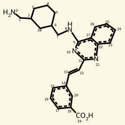 NCC1CCCC(CNc2nc(/C=C/c3cccc(C(=O)O)c3)nc3ccccc23)C1